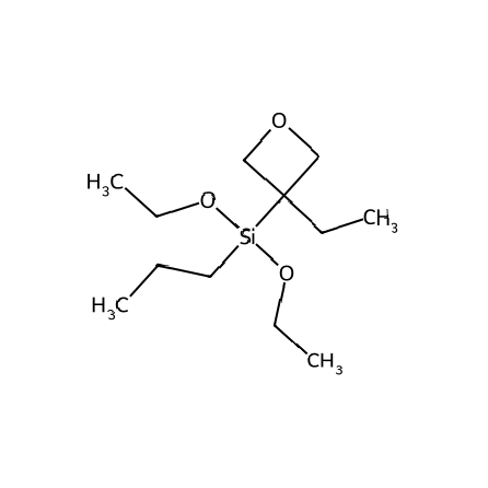 CCC[Si](OCC)(OCC)C1(CC)COC1